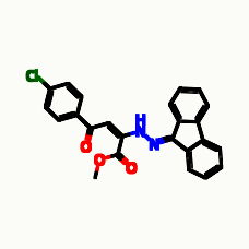 COC(=O)C(=CC(=O)c1ccc(Cl)cc1)NN=C1c2ccccc2-c2ccccc21